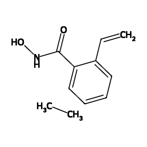 C=Cc1ccccc1C(=O)NO.CC